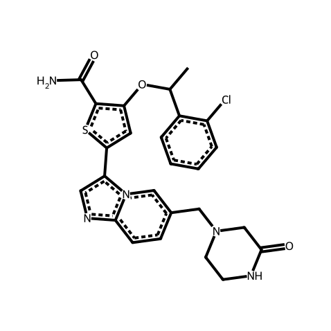 CC(Oc1cc(-c2cnc3ccc(CN4CCNC(=O)C4)cn23)sc1C(N)=O)c1ccccc1Cl